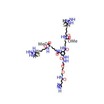 COC(=O)[C@H](CCCCNC(=O)c1cc(NC(=O)NCCOCCOCCNC(=O)CCc2c[nH]nn2)cc(C(=O)NCCCC[C@H](NC(=O)CCCC[C@@H]2SC[C@@H]3NC(=N)N[C@@H]32)C(=O)OC)c1)NC(=O)CCCC[C@@H]1SC[C@@H]2NC(=N)N[C@@H]21